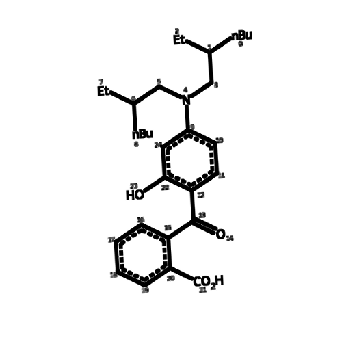 CCCCC(CC)CN(CC(CC)CCCC)c1ccc(C(=O)c2ccccc2C(=O)O)c(O)c1